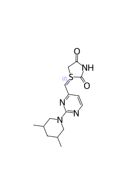 CC1CC(C)CN(c2nccc(/C=S3/CC(=O)NC3=O)n2)C1